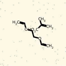 C=C(C)C(=O)O.C=COCCOC=C